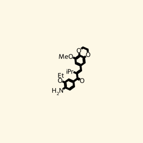 CCOc1cc(C(=O)/C(=C/c2cc(OC)c3c(c2)OCCO3)C(C)C)ccc1N